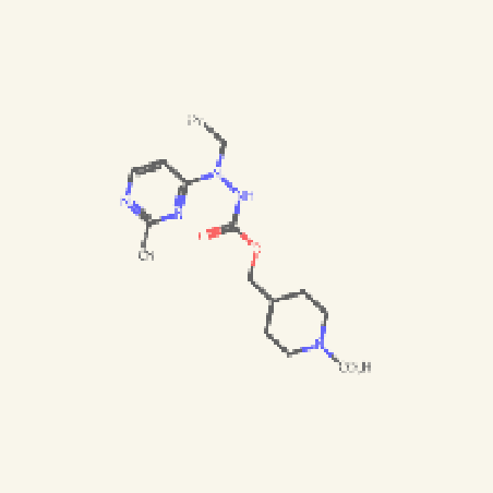 CC(C)CN(NC(=O)OCC1CCN(C(=O)O)CC1)c1ccnc(C#N)n1